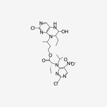 CCC1C(O)Nc2cnc(Cl)nc2N1C(C)CCOC(=O)[C@@H](CC)N(c1nc(Cl)ncc1[N+](=O)[O-])C(C)C